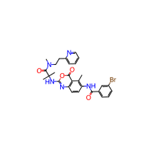 Cc1c(NC(=O)c2cccc(Br)c2)ccc2nc(NC(C)(C)C(=O)N(C)CCc3ccccn3)oc(=O)c12